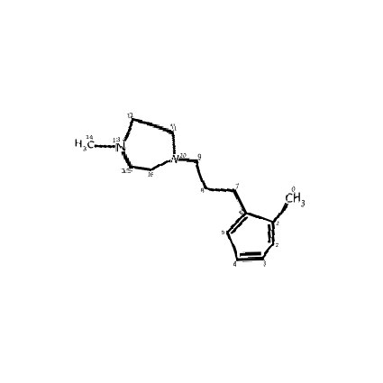 Cc1ccccc1CCCN1CCN(C)CC1